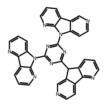 c1cnc2c(c1)C(c1nc(-n3c4ccncc4c4cccnc43)nc(-n3c4cccnc4c4cccnc43)n1)c1cnccc1-2